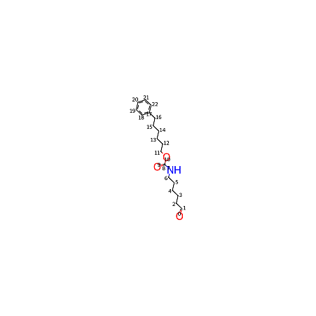 O=CCCCCCNC(=O)OCCCCCCc1ccccc1